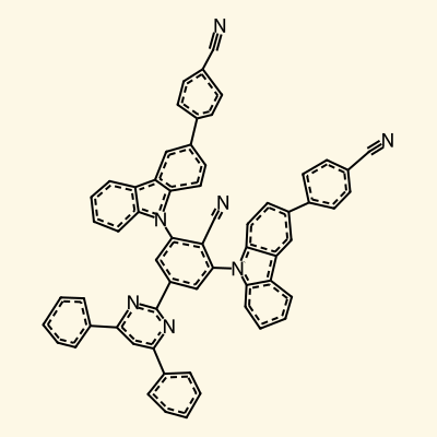 N#Cc1ccc(-c2ccc3c(c2)c2ccccc2n3-c2cc(-c3nc(-c4ccccc4)cc(-c4ccccc4)n3)cc(-n3c4ccccc4c4cc(-c5ccc(C#N)cc5)ccc43)c2C#N)cc1